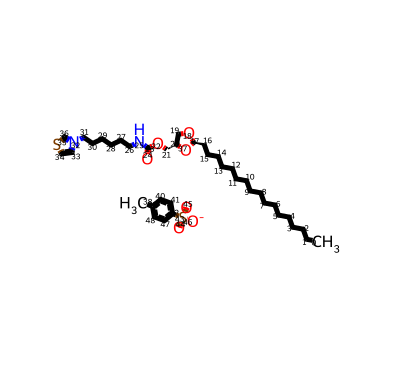 CCCCCCCCCCCCCCCCC[C@@H]1OC[C@@H](COC(=O)NCCCCCC[n+]2ccsc2)O1.Cc1ccc(S(=O)(=O)[O-])cc1